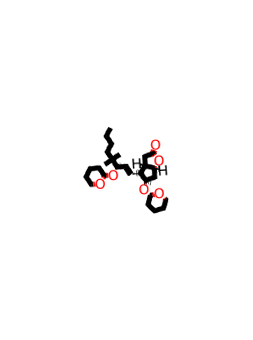 CCCCC(C)(C)[C@H](C=C[C@@H]1[C@H]2CC(=O)O[C@H]2C[C@H]1OC1CCCCO1)OC1CCCCO1